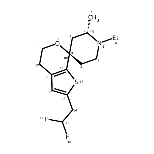 CCN1CC[C@]2(C[C@@H]1C)OCCc1cc(CC(F)F)sc12